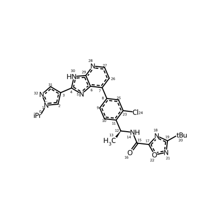 CC(C)n1cc(-c2nc3c(-c4ccc([C@H](C)NC(=O)c5nc(C(C)(C)C)no5)c(Cl)c4)ccnc3[nH]2)cn1